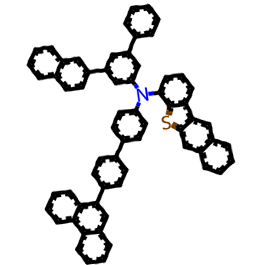 c1ccc(-c2cc(-c3ccc4ccccc4c3)cc(N(c3ccc(-c4ccc(-c5cc6ccccc6c6ccccc56)cc4)cc3)c3cccc4c3sc3cc5ccccc5cc34)c2)cc1